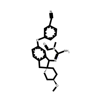 CO[C@H]1CC[C@]2(CC1)Cc1ccc(Oc3cccc(C#N)c3)cc1C2/N=C(/N)N(C)C=O